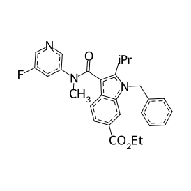 CCOC(=O)c1ccc2c(C(=O)N(C)c3cncc(F)c3)c(C(C)C)n(Cc3ccccc3)c2c1